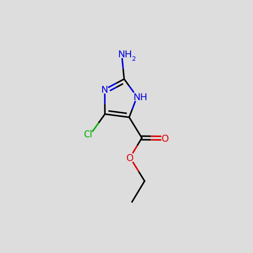 CCOC(=O)c1[nH]c(N)nc1Cl